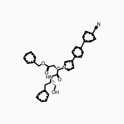 N#Cc1ccc(-c2ccc(-c3ccn([C@H](CC(=O)OCc4ccccc4)C(=O)N[C@H](CO)Cc4ccccc4)c3)cc2)cc1